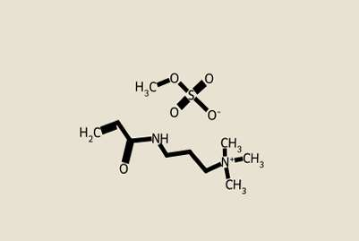 C=CC(=O)NCCC[N+](C)(C)C.COS(=O)(=O)[O-]